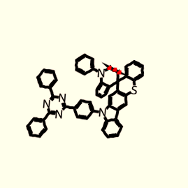 c1ccc(-c2nc(-c3ccccc3)nc(-c3ccc(-n4c5ccccc5c5cc6c(cc54)C4(c5ccccc5S6)c5ccccc5N(c5ccccc5)c5ccccc54)cc3)n2)cc1